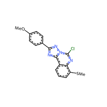 COc1ccc(-c2nc3c4cccc(SC)c4nc(Cl)n3n2)cc1